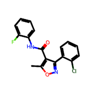 Cc1onc(-c2ccccc2Cl)c1C(=O)Nc1ccccc1F